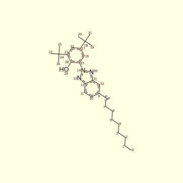 CCCCCCCCSc1ccc2nn(-c3cc(C(C)(C)C)cc(C(C)(C)C)c3O)nc2c1